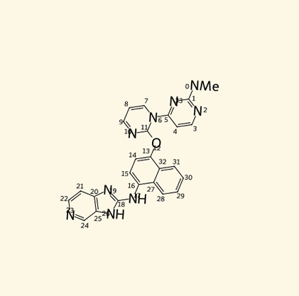 CNc1nccc(N2C=CC=NC2Oc2ccc(Nc3nc4ccncc4[nH]3)c3ccccc23)n1